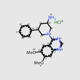 COc1cc2ncnc(N3CC(N)CC(c4ccccc4)C3)c2cc1OC.Cl